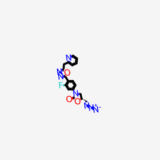 [N-]=[N+]=NC[C@H]1CN(c2ccc(-c3nnc(Cc4ccccn4)o3)c(F)c2)C(=O)O1